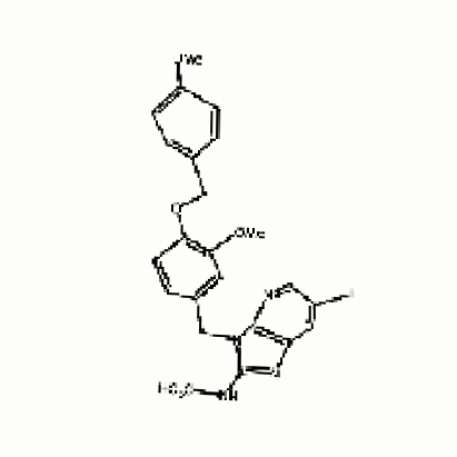 COc1ccc(COc2ccc(Cn3c(NC(=O)O)nc4cc(I)cnc43)cc2OC)cc1